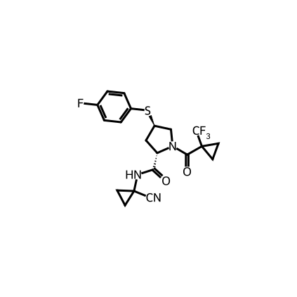 N#CC1(NC(=O)[C@@H]2C[C@@H](Sc3ccc(F)cc3)CN2C(=O)C2(C(F)(F)F)CC2)CC1